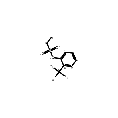 CCS(=O)(=O)Oc1ccccc1C(F)(F)F